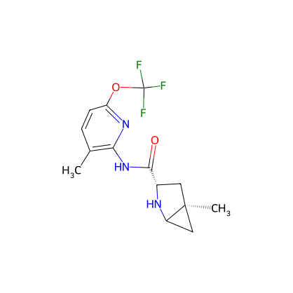 Cc1ccc(OC(F)(F)F)nc1NC(=O)[C@@H]1C[C@@]2(C)CC2N1